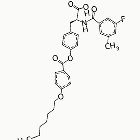 CCCCCCCOc1ccc(C(=O)Oc2ccc(C[C@H](NC(=O)c3cc(C)cc(F)c3)C(=O)O)cc2)cc1